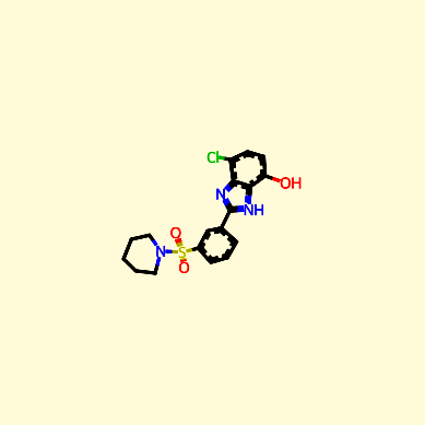 O=S(=O)(c1cccc(-c2nc3c(Cl)ccc(O)c3[nH]2)c1)N1CCCCC1